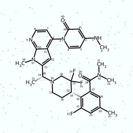 CNc1ccn(-c2ccnc3c2cc([C@@H](C)N2CC[C@@H](c4c(F)cc(C)cc4C(=O)N(C)C)C(F)(F)C2)n3C)c(=O)c1